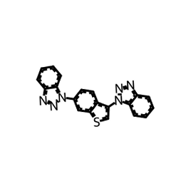 c1ccc2c(c1)nnn2-c1ccc2c(-n3nnc4ccccc43)csc2c1